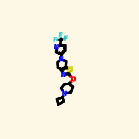 FC(F)(F)c1ccc(N2CCc3nc(OC4CCN(C5CCC5)CC4)sc3C2)cn1